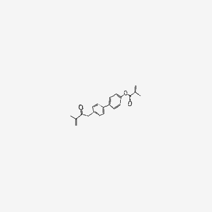 C=C(C)C(=O)Cc1ccc(-c2ccc(OC(=O)C(=C)C)cc2)cc1